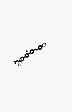 CC(C)CC[SiH]1CCC(c2ccc(-c3ccc(CCc4ccc(Cl)cc4)cc3)c(F)c2)CC1